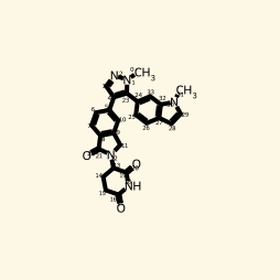 Cn1ncc(-c2ccc3c(c2)CN(C2CCC(=O)NC2=O)C3=O)c1-c1ccc2ccn(C)c2c1